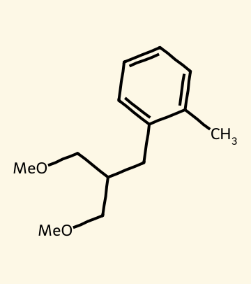 COCC(COC)Cc1ccccc1C